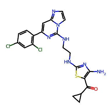 Nc1nc(NCCNc2nc(-c3ccc(Cl)cc3Cl)cc3nccn23)sc1C(=O)C1CC1